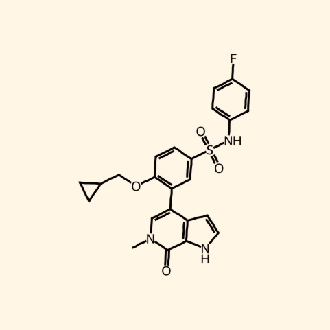 Cn1cc(-c2cc(S(=O)(=O)Nc3ccc(F)cc3)ccc2OCC2CC2)c2cc[nH]c2c1=O